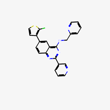 Clc1sccc1-c1ccc2nc(-c3cccnc3)nc(NCc3ccccn3)c2c1